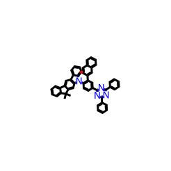 CC1(C)c2ccccc2-c2cc3c4ccccc4n(-c4ccc(-c5nc(-c6ccccc6)nc(-c6ccccc6)n5)cc4-c4ccc5ccccc5c4)c3cc21